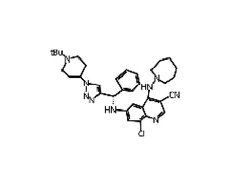 CC(C)(C)N1CCC(n2cc([C@@H](Nc3cc(Cl)c4ncc(C#N)c(NN5CCCCCC5)c4c3)c3ccccc3)nn2)CC1